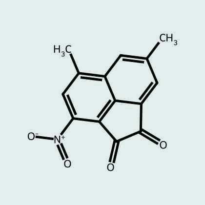 Cc1cc2c3c(c([N+](=O)[O-])cc(C)c3c1)C(=O)C2=O